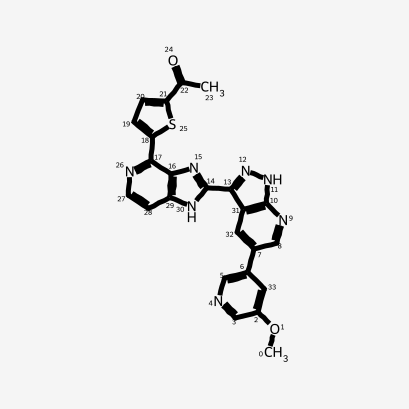 COc1cncc(-c2cnc3[nH]nc(-c4nc5c(-c6ccc(C(C)=O)s6)nccc5[nH]4)c3c2)c1